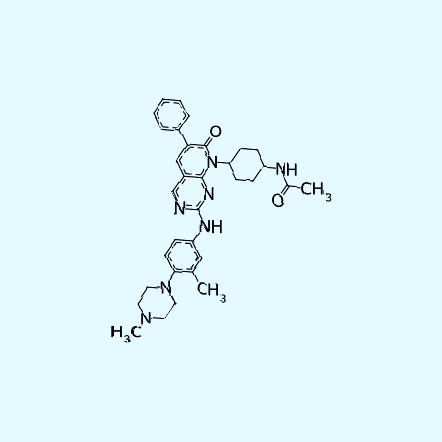 CC(=O)NC1CCC(n2c(=O)c(-c3ccccc3)cc3cnc(Nc4ccc(N5CCN(C)CC5)c(C)c4)nc32)CC1